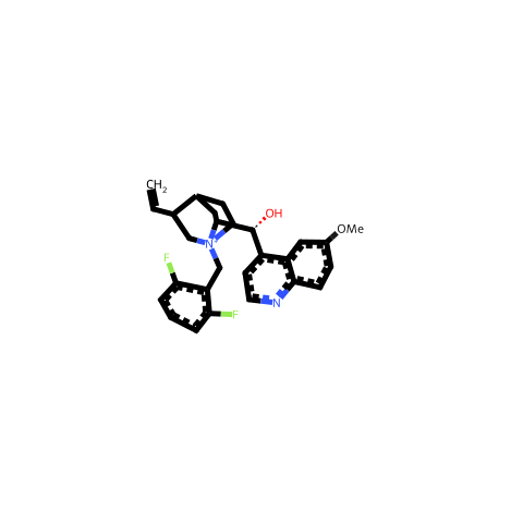 C=CC1C[N+]2(Cc3c(F)cccc3F)CCC1CC2[C@H](O)c1ccnc2ccc(OC)cc12